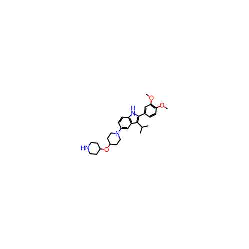 COc1ccc(-c2[nH]c3ccc(N4CCC(OC5CCNCC5)CC4)cc3c2C(C)C)cc1OC